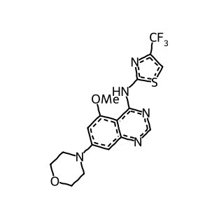 COc1cc(N2CCOCC2)cc2ncnc(Nc3nc(C(F)(F)F)cs3)c12